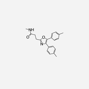 CNC(=O)CCc1nc(-c2ccc(C)cc2)c(-c2ccc(C)cc2)o1